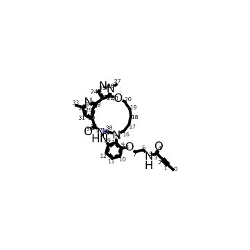 CC#CC(=O)NCCOc1cccc2c1N1CCCCCOc3c(cnn3C)-c3cc(cc(C)n3)C(=O)/N=C/1N2